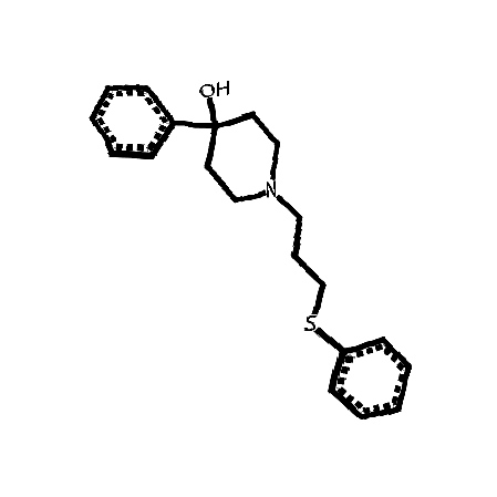 OC1(c2ccccc2)CCN(CCCSc2ccccc2)CC1